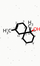 CC1=CCCC2(CCCCC2(C)O)C1